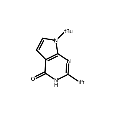 CC(C)c1nc2c(ccn2C(C)(C)C)c(=O)[nH]1